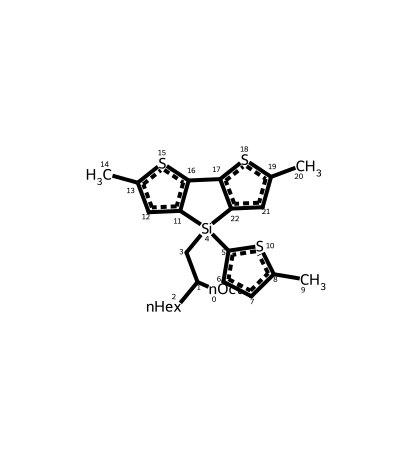 CCCCCCCCC(CCCCCC)C[Si]1(c2ccc(C)s2)c2cc(C)sc2-c2sc(C)cc21